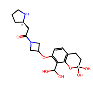 O=C(C[C@H]1CCCN1)N1CC(Oc2ccc3c(c2C(O)O)O[B-](O)(O)CC3)C1